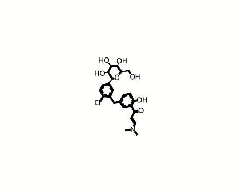 CN(C)C=CC(=O)c1cc(Cc2cc([C@@H]3O[C@H](CO)[C@@H](O)[C@H](O)[C@H]3O)ccc2Cl)ccc1O